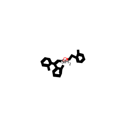 Cc1ccccc1CCO[SiH2]C=C(c1ccccc1C)c1ccccc1C